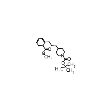 COC(=O)c1ccccc1CCCC1CCN(C(=O)OC(C)(C)C)CC1